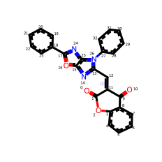 O=C1Oc2ccccc2C(=O)/C1=C/c1nc2oc(-c3ccccc3)nc2n1-c1ccccc1